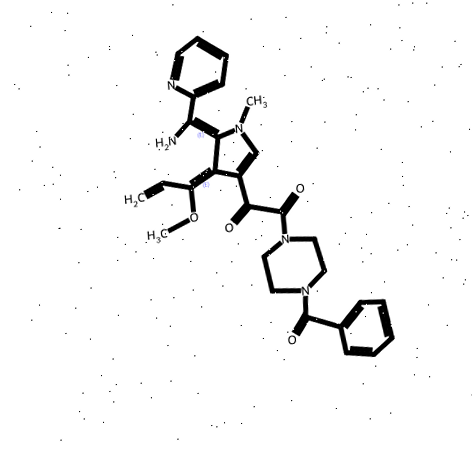 C=C/C(OC)=c1/c(C(=O)C(=O)N2CCN(C(=O)c3ccccc3)CC2)cn(C)/c1=C(/N)c1ccccn1